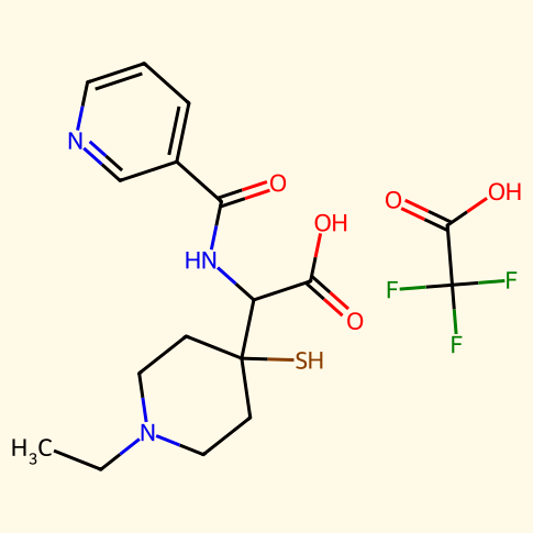 CCN1CCC(S)(C(NC(=O)c2cccnc2)C(=O)O)CC1.O=C(O)C(F)(F)F